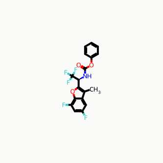 Cc1c([C@H](NC(=O)Oc2ccccc2)C(F)(F)F)oc2c(F)cc(F)cc12